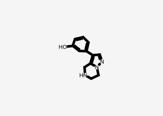 Oc1cccc(-c2cnn3c2CNCC3)c1